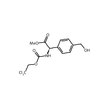 COC(=O)[C@H](NC(=O)OCC(Cl)(Cl)Cl)c1ccc(CO)cc1